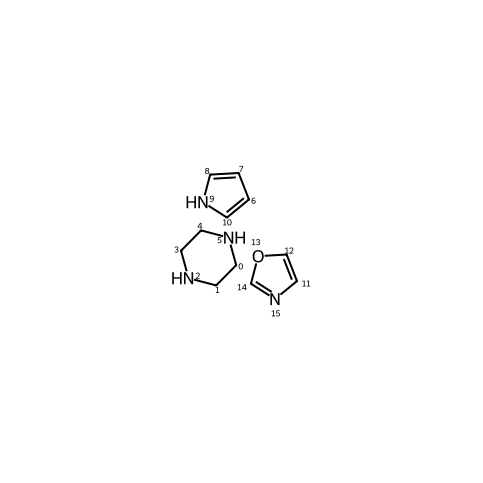 C1CNCCN1.c1cc[nH]c1.c1cocn1